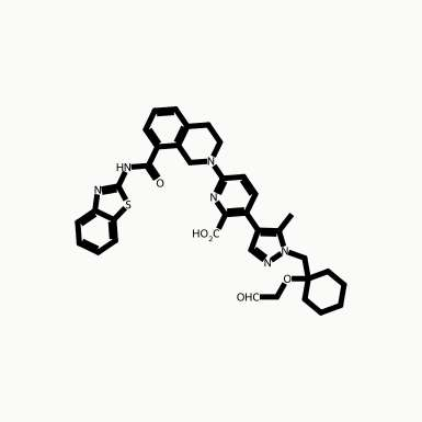 Cc1c(-c2ccc(N3CCc4cccc(C(=O)Nc5nc6ccccc6s5)c4C3)nc2C(=O)O)cnn1CC1(OCC=O)CCCCC1